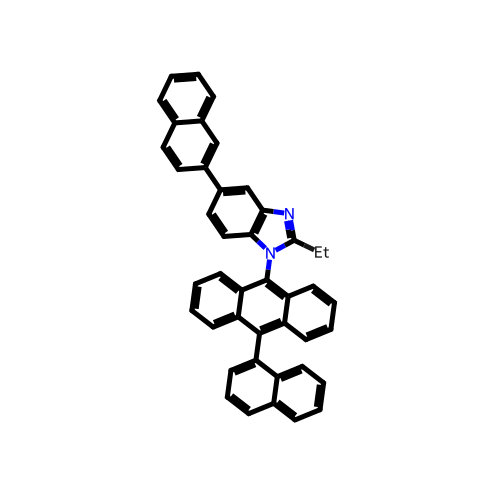 CCc1nc2cc(-c3ccc4ccccc4c3)ccc2n1-c1c2ccccc2c(-c2cccc3ccccc23)c2ccccc12